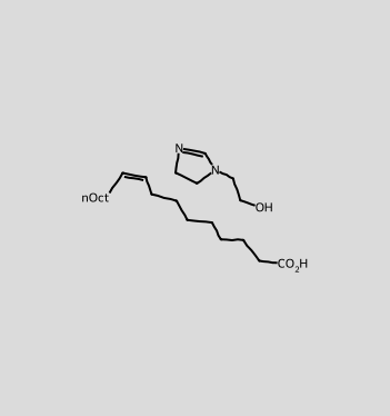 CCCCCCCC/C=C\CCCCCCCC(=O)O.OCCN1C=NCC1